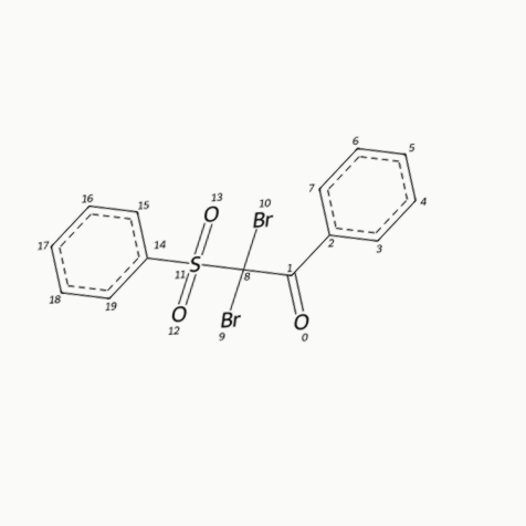 O=C(c1ccccc1)C(Br)(Br)S(=O)(=O)c1ccccc1